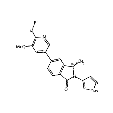 CCOc1ncc(-c2ccc3c(n2)[C@@H](C)N(c2cn[nH]c2)C3=O)cc1OC